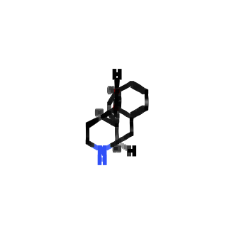 C1=CC23CC[C@H]1C[C@@]21CCN[C@@H]3Cc2ccccc21